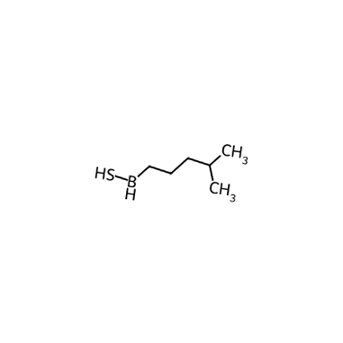 CC(C)CCCBS